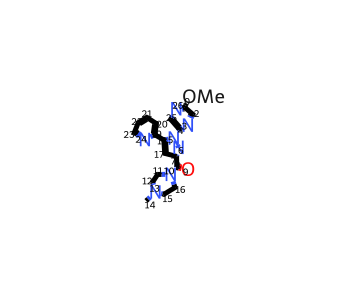 COc1cnc(-n2nc(C(=O)N3CCN(C)CC3)cc2-c2ccccn2)cn1